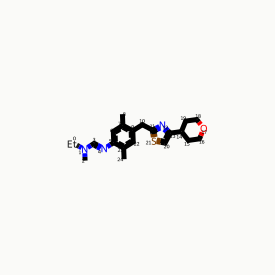 CCN(C)/C=N/c1cc(C)c(Cc2nc(C3CCOCC3)cs2)cc1C